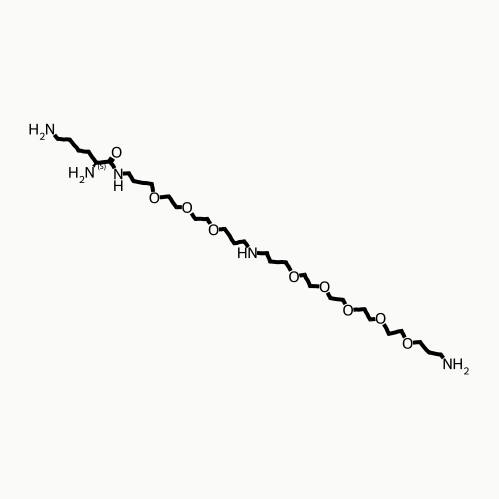 NCCCC[C@H](N)C(=O)NCCCOCCOCCOCCCNCCCOCCOCCOCCOCCOCCCN